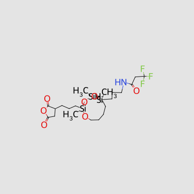 C[SiH]1O[Si](C)(CCCNC(=O)CC(F)(F)F)CCCCO[Si](C)(CCCC2CC(=O)OC2=O)O1